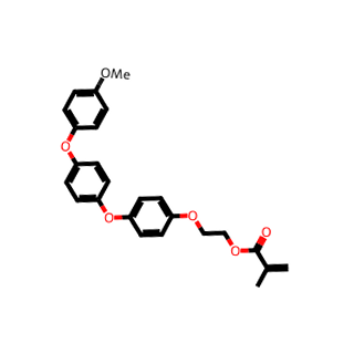 C=C(C)C(=O)OCCOc1ccc(Oc2ccc(Oc3ccc(OC)cc3)cc2)cc1